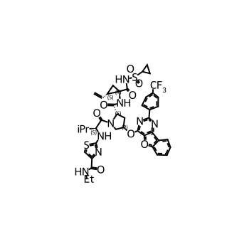 C=C[C@@H]1C[C@]1(NC(=O)[C@@H]1C[C@@H](Oc2nc(-c3ccc(C(F)(F)F)cc3)nc3c2oc2ccccc23)CN1C(=O)[C@@H](Nc1nc(C(=O)NCC)cs1)C(C)C)C(=O)NS(=O)(=O)C1CC1